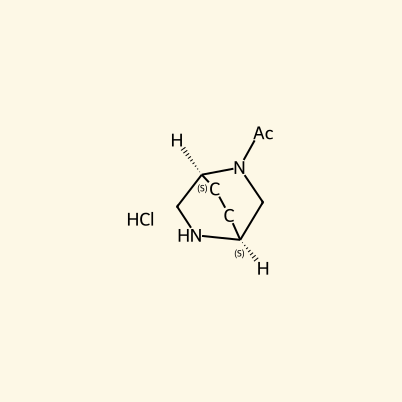 CC(=O)N1C[C@@H]2CC[C@H]1CN2.Cl